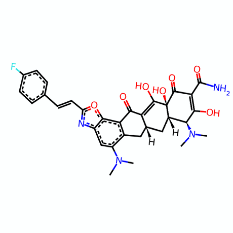 CN(C)c1cc2nc(/C=C/c3ccc(F)cc3)oc2c2c1C[C@H]1C[C@H]3[C@H](N(C)C)C(O)=C(C(N)=O)C(=O)[C@@]3(O)C(O)=C1C2=O